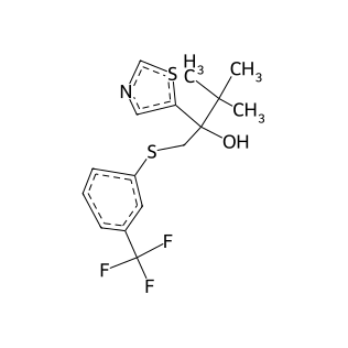 CC(C)(C)C(O)(CSc1cccc(C(F)(F)F)c1)c1cncs1